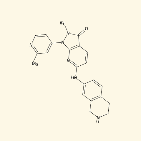 CC(C)n1c(=O)c2ccc(Nc3ccc4c(c3)CNCC4)nc2n1-c1ccnc(C(C)(C)C)c1